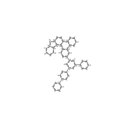 c1ccc(-c2ccc(-c3cc(-c4ccccc4)nc(-c4ccc5c(c4)c4ccccc4c4ccc6oc7ccccc7c6c45)n3)cc2)cc1